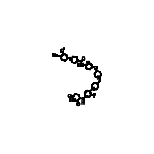 COc1cc(N2CCC(C(=O)Nc3ccc(OC4CCN(CC5CCN(c6ccc(NC7CCC(=O)NC7=O)cc6F)CC5)CC4)cn3)CC2)ccc1C#N